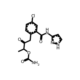 CC(OC(N)=O)C(=O)Cc1ccc(Cl)cc1C(=O)Nc1cc[nH]n1